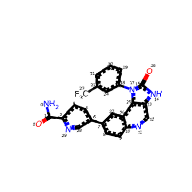 NC(=O)c1ccc(-c2ccc3ncc4[nH]c(=O)n(-c5cccc(C(F)(F)F)c5)c4c3c2)cn1